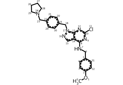 COc1ccc(CNc2nc(Cl)nc3c2cnn3Cc2ccc(CN3CCCC3)cc2)cc1